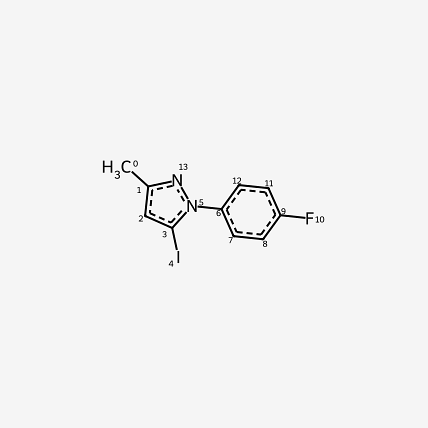 Cc1cc(I)n(-c2ccc(F)cc2)n1